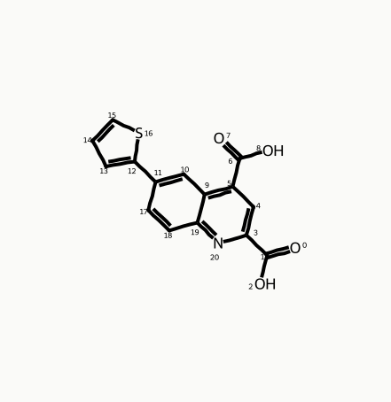 O=C(O)c1cc(C(=O)O)c2cc(-c3cccs3)ccc2n1